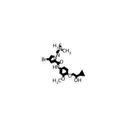 COc1cc(NC(=O)c2cc(Br)cn2/N=C/N(C)C)ccc1OCC(O)C1CC1